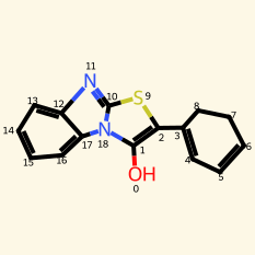 Oc1c(C2=CC=CCC2)sc2nc3ccccc3n12